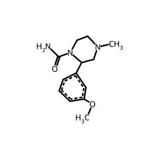 COc1cccc(C2CN(C)CCN2C(N)=O)c1